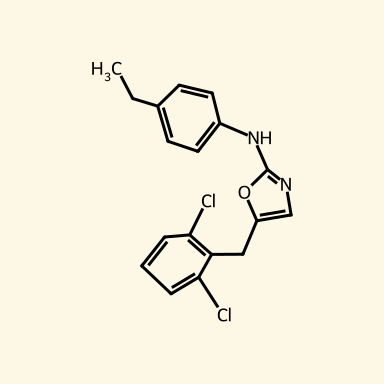 CCc1ccc(Nc2ncc(Cc3c(Cl)cccc3Cl)o2)cc1